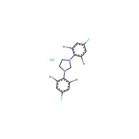 Cl.Fc1cc(Br)c(N2CCN(c3c(Br)cc(F)cc3Br)C2)c(Br)c1